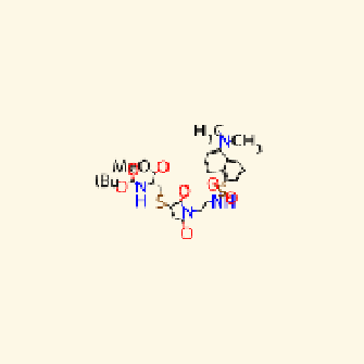 COC(=O)[C@H](CSC1=CC(=O)N(CCNS(=O)(=O)c2cccc3c(N(C)C)cccc23)C1=O)NC(=O)OC(C)(C)C